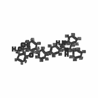 CC1(C)c2ccccc2Oc2c(-c3cccc(-c4ccc(CNC(c5ccccc5)c5ccccc5N)cc4)c3)cccc21